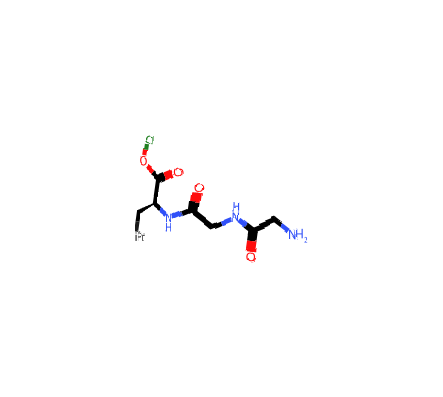 CC(C)C[C@H](NC(=O)CNC(=O)CN)C(=O)OCl